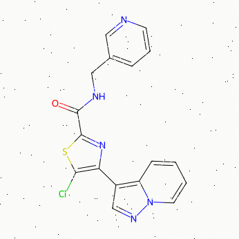 O=C(NCc1cccnc1)c1nc(-c2cnn3ccccc23)c(Cl)s1